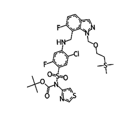 CC(C)(C)OC(=O)N(c1cscn1)S(=O)(=O)c1cc(Cl)c(NCc2c(F)ccc3cnn(COCCS(C)(C)C)c23)cc1F